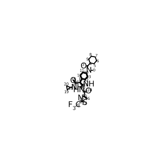 CN(C(=O)C1CCCCC1)c1ccc2c(C(=O)NC3CC3)c(NC(=O)c3csc(C(F)(F)F)n3)[nH]c2c1